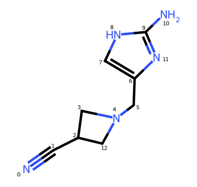 N#CC1CN(Cc2c[nH]c(N)n2)C1